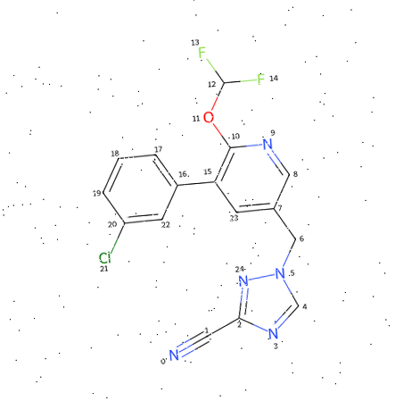 N#Cc1ncn(Cc2cnc(OC(F)F)c(-c3cccc(Cl)c3)c2)n1